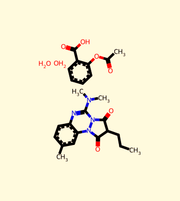 CC(=O)Oc1ccccc1C(=O)O.CCCC1C(=O)N2C(N(C)C)=Nc3ccc(C)cc3N2C1=O.O.O